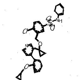 O=S(=O)(NC1=CC=CCC1)c1ccc(Cl)c(COC2(c3cnccc3-c3ccccc3OC3CC3)CC2)c1